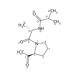 CC(=O)[C@@H]1CCCN1C(=O)[C@H](C)NC(=O)C(C)C